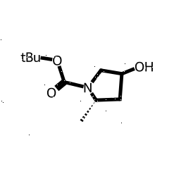 C[C@H]1CC(O)CN1C(=O)OC(C)(C)C